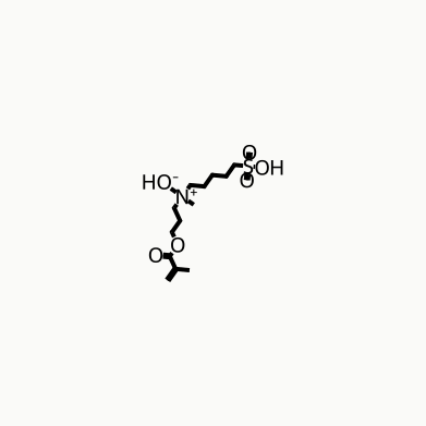 C=C(C)C(=O)OCCC[N+](C)(C)CCCCCS(=O)(=O)O.[OH-]